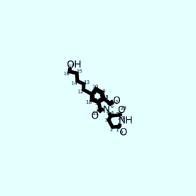 O=C1CCC(N2C(=O)c3ccc(CCCCCO)cc3C2=O)C(=O)N1